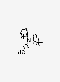 CC(C)(C)OC(=O)N(c1ccccn1)[C@H]1C[C@@H](O)C1